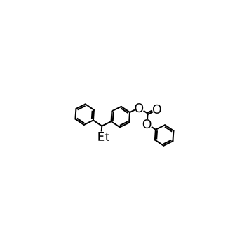 CCC(c1ccccc1)c1ccc(OC(=O)Oc2ccccc2)cc1